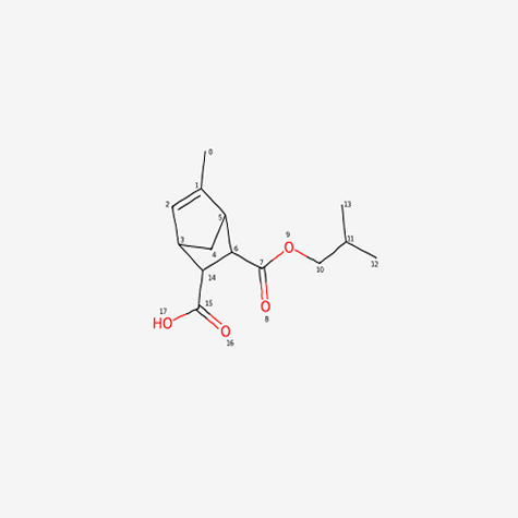 CC1=CC2CC1C(C(=O)OCC(C)C)C2C(=O)O